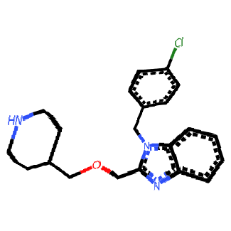 Clc1ccc(Cn2c(COCC3CCNCC3)nc3ccccc32)cc1